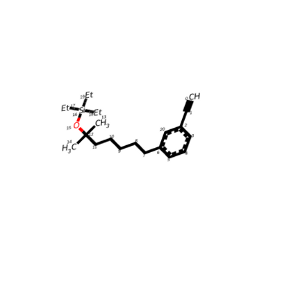 C#Cc1cccc(CCCCCC(C)(C)O[Si](CC)(CC)CC)c1